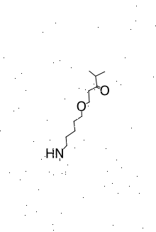 CNCCCCCOCCC(=O)C(C)C